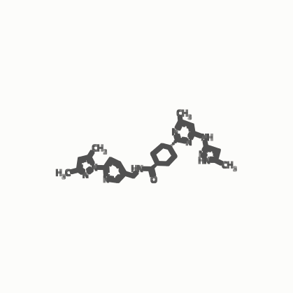 Cc1cc(Nc2cc(C)[nH]n2)nc([C@H]2CC[C@H](C(=O)NCc3ccc(-n4nc(C)cc4C)nc3)CC2)n1